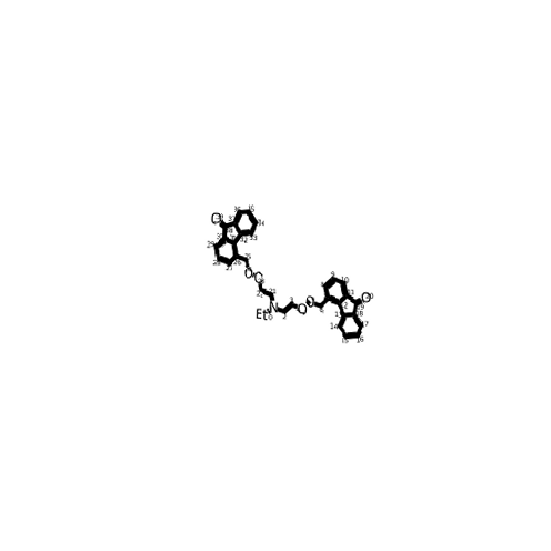 CCN(CCOOCc1cccc2c1-c1ccccc1C2=O)CCOOCc1cccc2c1-c1ccccc1C2=O